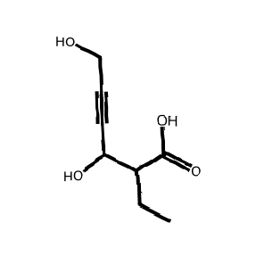 CCC(C(=O)O)C(O)C#CCO